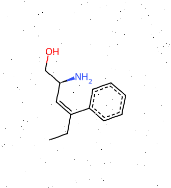 CC/C(=C/[C@H](N)CO)c1ccccc1